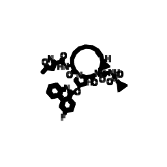 Cc1cc(C(=O)N[C@H]2CCCCC/C=C\[C@@H]3C[C@@]3(C(=O)NS(=O)(=O)C3CC3)NC(=O)[C@@H]3C[C@@H](Oc4nc5ccccc5c5cc(F)ccc45)CN3C2=O)no1